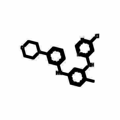 Cc1ccc(Nc2cccc(N3CCOCC3)c2)cc1Nc1cc(Cl)ncn1